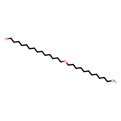 CCCCCCCCCCCCOCCCCCCCCCCCCCC[O]